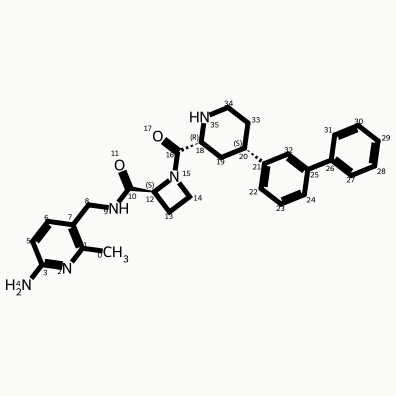 Cc1nc(N)ccc1CNC(=O)[C@@H]1CCN1C(=O)[C@H]1C[C@@H](c2cccc(-c3ccccc3)c2)CCN1